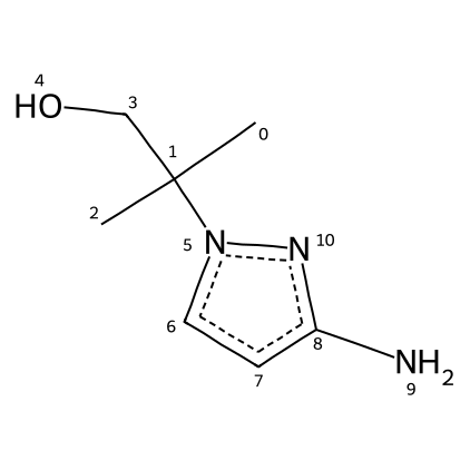 CC(C)(CO)n1ccc(N)n1